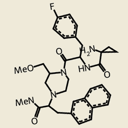 CNC(=O)C(Cc1ccc2ccccc2c1)N1CCN(C(=O)C(Cc2ccc(F)cc2)NC(=O)C2(N)CC2)C(COC)C1